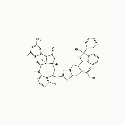 C=CC(=O)N1Cc2nc(CN3C[C@H]4CC(=O)N(c5cc(C(F)(F)F)cc(C)n5)[C@@H]4C(=O)N(C)c4cccc(Cl)c43)cn2CC1CO[Si](c1ccccc1)(c1ccccc1)C(C)(C)C